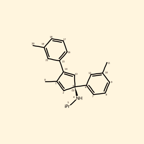 CC1=C[C@@](NC(C)C)(c2cccc(C)c2)C=C1c1cccc(C)c1